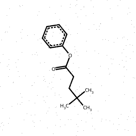 CC(C)(C)CCC(=O)Oc1[c]cccc1